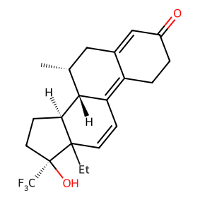 CCC12C=CC3=C4CCC(=O)C=C4C[C@@H](C)[C@H]3[C@@H]1CC[C@@]2(O)C(F)(F)F